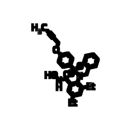 CC#CCOc1ccc(S(=O)(=O)N(Cc2ccccc2)c2c(CC)cc(CC)cc2C(=O)NO)cc1